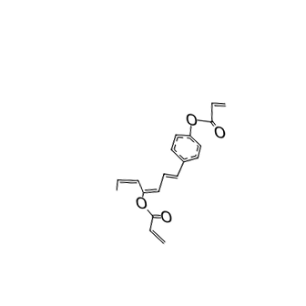 C=CC(=O)OC(/C=C\C)=C/C=C/c1ccc(OC(=O)C=C)cc1